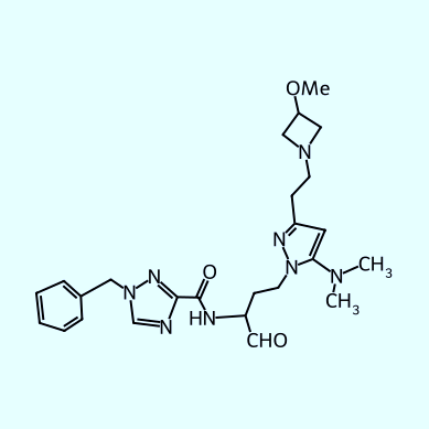 COC1CN(CCc2cc(N(C)C)n(CCC(C=O)NC(=O)c3ncn(Cc4ccccc4)n3)n2)C1